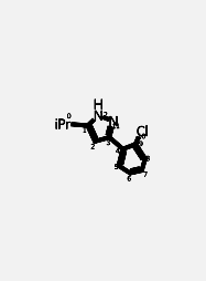 CC(C)c1cc(-c2ccccc2Cl)n[nH]1